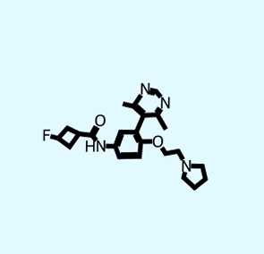 Cc1ncnc(C)c1-c1cc(NC(=O)C2CC(F)C2)ccc1OCCN1CCCC1